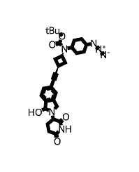 CC(C)(C)OC(=O)N(C1CCC(N=[N+]=[N-])CC1)[C@H]1C[C@H](C#Cc2ccc3c(c2)CN(C2CCC(=O)NC2=O)C3O)C1